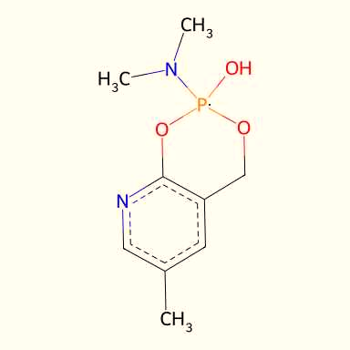 Cc1cnc2c(c1)CO[P](O)(N(C)C)O2